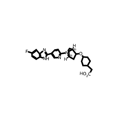 O=C(O)CC1CCC(OC2C[C@H]3C[C@@H]2CN3c2ccc(-c3nc4cc(F)ccc4[nH]3)cn2)CC1